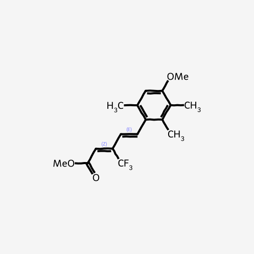 COC(=O)/C=C(/C=C/c1c(C)cc(OC)c(C)c1C)C(F)(F)F